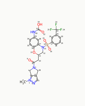 Cn1ncc2c1CN(C(=O)CC1CN(S(=O)(=O)c3cccc(C(F)(F)F)c3)c3cc(NC(=O)O)ccc3O1)C2